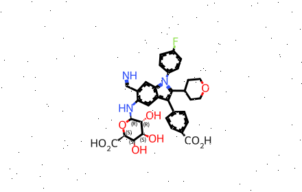 N=Cc1cc2c(cc1N[C@@H]1O[C@H](C(=O)O)[C@@H](O)[C@H](O)[C@H]1O)c(-c1ccc(C(=O)O)cc1)c(C1CCOCC1)n2-c1ccc(F)cc1